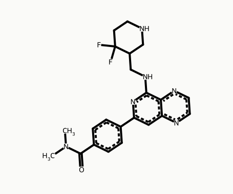 CN(C)C(=O)c1ccc(-c2cc3nccnc3c(NCC3CNCCC3(F)F)n2)cc1